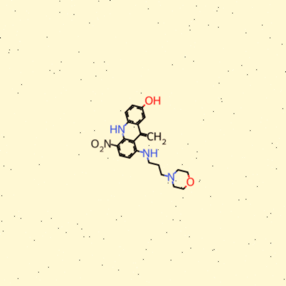 C=C1c2cc(O)ccc2Nc2c([N+](=O)[O-])ccc(NCCCN3CCOCC3)c21